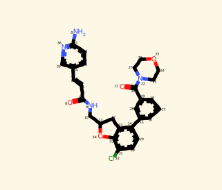 Nc1ccc(C=CC(=O)NCC2Cc3c(-c4cccc(C(=O)N5CCOCC5)c4)ccc(Cl)c3O2)cn1